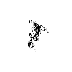 Cc1cc(C)n2nc(CC3=C(O)CC(CCc4ccc(C5(C)OCCO5)c(Cl)c4)(C4CCCC4)OC3=O)nc2n1